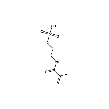 C=C(C)C(=O)NCC=CS(=O)(=O)O